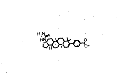 COC(=O)c1ccc(C2=CC[C@@]3(C)C(CC[C@]4(C)C3CC[C@@H]3C5CCC[C@]5(NC(N)=S)CC[C@]34C)C2(C)C)cc1